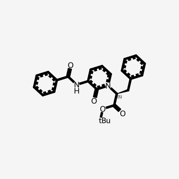 CC(C)(C)OC(=O)[C@H](Cc1ccccc1)n1cccc(NC(=O)c2ccccc2)c1=O